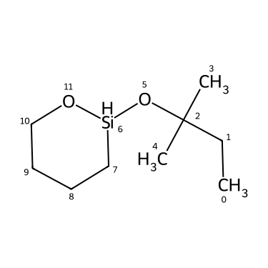 CCC(C)(C)O[SiH]1CCCCO1